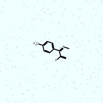 C=C(F)/C(=N\C)c1ccc(C(F)(F)F)cc1